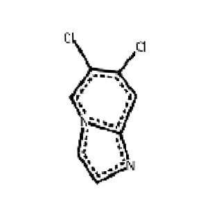 Clc1cc2nccn2cc1Cl